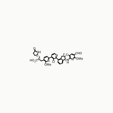 COc1nc(N[C@H]2CCc3c(-c4nccc(-c5ccc(CN(C[C@@H]6CCC(=O)N6)C(=O)O)c(OC)n5)c4Cl)cccc32)c(C(F)(F)F)cc1C=O